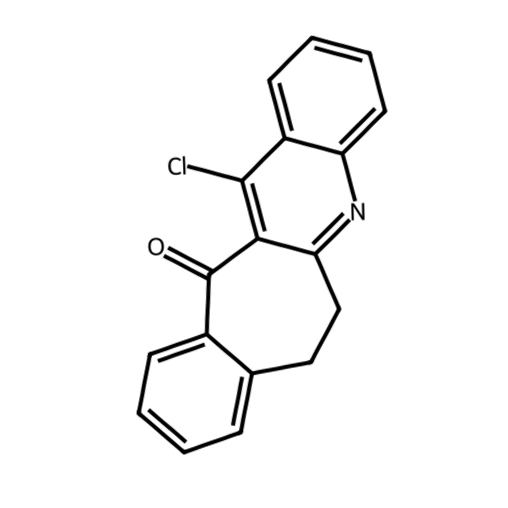 O=C1c2ccccc2CCc2nc3ccccc3c(Cl)c21